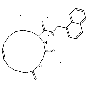 O=C1CCC/C=C\CCCCCC(C(=O)NCc2cccc3ccccc23)NC(=O)CN1